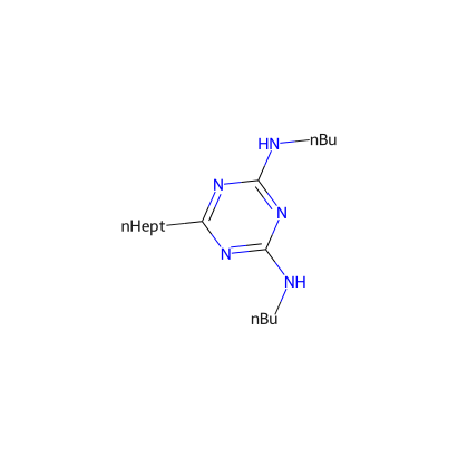 CCCCCCCc1nc(NCCCC)nc(NCCCC)n1